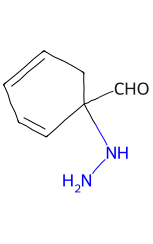 NNC1(C=O)C=CC=CC1